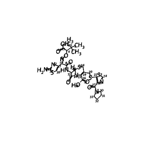 CC(C)(C)C(O/N=C(\C(=O)NC1C(=O)N2C(C(=O)O)=C(CSc3scnc3C(=O)N3CCCC3)CS[C@@H]12)c1csc(N)n1)C(=O)O